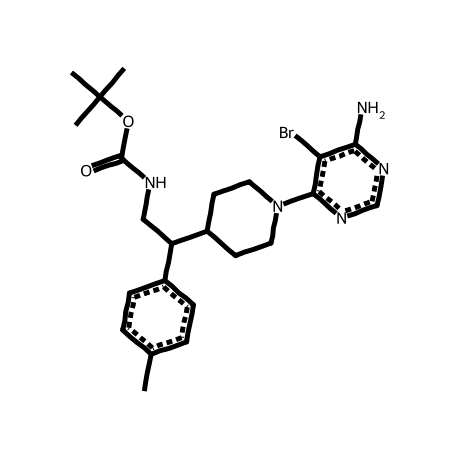 Cc1ccc(C(CNC(=O)OC(C)(C)C)C2CCN(c3ncnc(N)c3Br)CC2)cc1